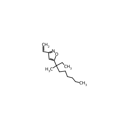 C=Cc1cc(C(C)(CC)CCCCCC)on1